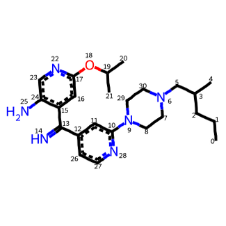 CCCC(C)CN1CCN(c2cc(C(=N)c3cc(OC(C)C)ncc3N)ccn2)CC1